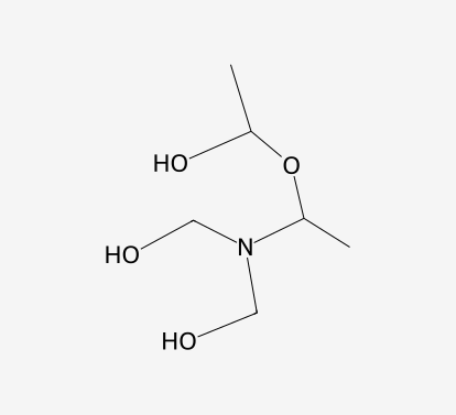 CC(O)OC(C)N(CO)CO